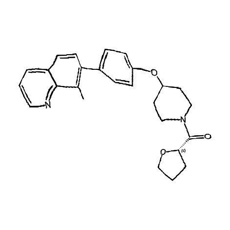 Cc1c(-c2ccc(OC3CCN(C(=O)[C@@H]4CCCO4)CC3)cc2)ccc2cccnc12